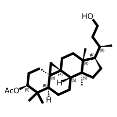 CC(=O)O[C@H]1CC[C@]23C[C@]24CC[C@]2(C)[C@@H]([C@H](C)CCO)CC[C@@]2(C)[C@@H]4CC[C@H]3C1(C)C